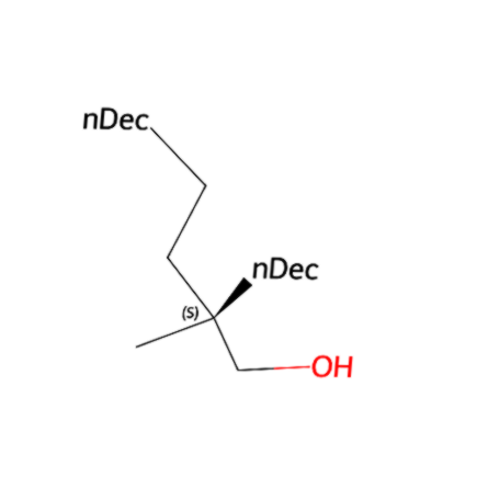 CCCCCCCCCCCC[C@@](C)(CO)CCCCCCCCCC